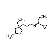 C=N/C(=N\CCCC1(CC)CCC(C)C1)C1CC1